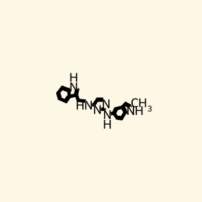 Cc1cc2cc(Nc3nccc(NCCc4c[nH]c5ccccc45)n3)ccc2[nH]1